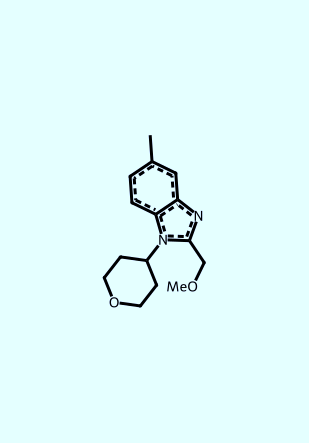 COCc1nc2cc(C)ccc2n1C1CCOCC1